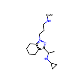 CONCCCn1nc([C@@H](C)NC2CC2)c2c1CCCC2